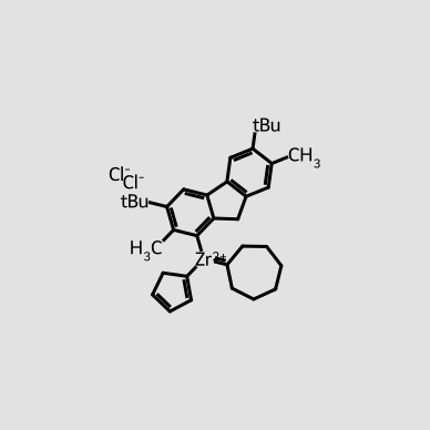 Cc1cc2c(cc1C(C)(C)C)-c1cc(C(C)(C)C)c(C)[c]([Zr+2]([C]3=CC=CC3)=[C]3CCCCCC3)c1C2.[Cl-].[Cl-]